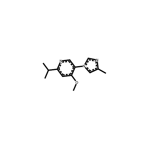 COc1cc(C(C)C)ncc1-n1cnc(C)c1